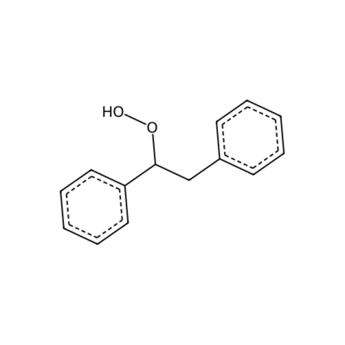 OOC(Cc1ccccc1)c1ccccc1